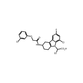 CCC(C(=O)O)n1c2c(c3cc(F)cc(Cl)c31)CC(NC(=O)COc1cccc(Cl)c1)CC2